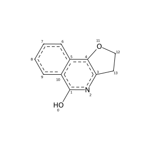 Oc1nc2c(c3ccccc13)OCC2